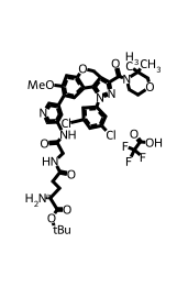 COc1cc2c(cc1-c1cncc(NC(=O)CNC(=O)CC[C@@H](N)C(=O)OC(C)(C)C)c1)-c1c(c(C(=O)N3CCOCC3(C)C)nn1-c1cc(Cl)cc(Cl)c1)CO2.O=C(O)C(F)(F)F